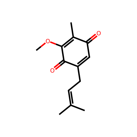 COC1=C(C)C(=O)C=C(CC=C(C)C)C1=O